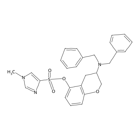 Cn1cnc(S(=O)(=O)Oc2cccc3c2CC(N(Cc2ccccc2)Cc2ccccc2)CO3)c1